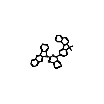 CC1(C)c2ccc(-c3nc(-n4c5ccccc5c5cc6ccccc6cc54)nc4ccccc34)cc2-c2c1ccc1ccccc21